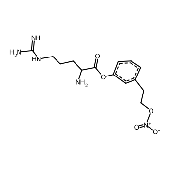 N=C(N)NCCCC(N)C(=O)Oc1cccc(CCO[N+](=O)[O-])c1